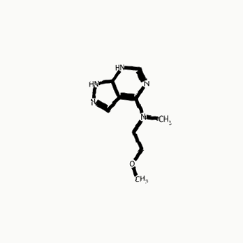 COCCN(C)C1=C2C=NNC2NC=N1